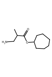 CC(CN)C(=O)OC1CCCCCC1